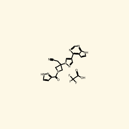 N#CCC1(n2cc(-c3ncnc4[nH]ccc34)cn2)CN(C(=O)c2cc[nH]n2)C1.O=C(O)C(F)(F)F